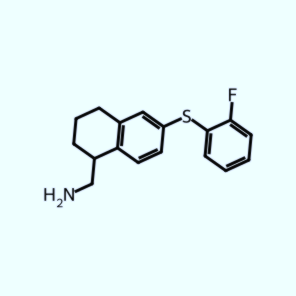 NCC1CCCc2cc(Sc3ccccc3F)ccc21